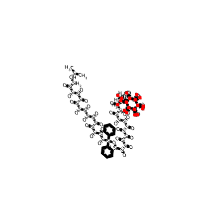 C[SiH](C)O[SiH2][Si](=O)[Si](=O)[Si](=O)[Si](=O)[Si](=O)[Si](=O)[Si](=O)[Si](=O)[Si](=O)[Si](=O)[Si](=O)[Si](=O)[Si](=O)[Si](=O)[Si](O[SiH2][Si](=O)[Si](=O)[Si](=O)[Si](=O)[Si](=O)[Si](=O)[Si](=O)[Si](=O)[Si](=O)[Si](=O)[Si](=O)[Si](=O)[Si](=O)[Si](=O)[Si](=O)[Si](=O)[Si](=O)[Si](=O)[Si](=O)[Si](=O)[Si](=O)[Si](=O)[Si](=O)[Si](=O)[Si](=O)[Si](=O)[Si](=O)[Si](=O)[Si](=O)[Si](=O)[Si](=O)[Si](=O)[Si](=O)[Si](=O)[Si](=O)[SiH](C)O[SiH](C)C)(c1ccccc1)c1ccccc1